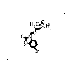 C[Si](C)(C)CCOCn1c(=O)oc2cc(Br)ccc21